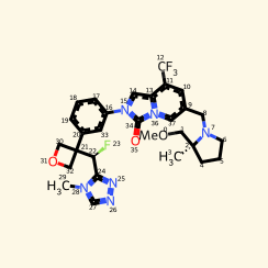 COC[C@]1(C)CCCN1Cc1cc(C(F)(F)F)c2cn(-c3cccc(C4([C@@H](F)c5nncn5C)COC4)c3)c(=O)n2c1